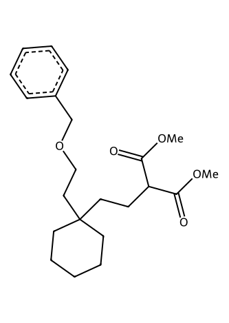 COC(=O)C(CCC1(CCOCc2ccccc2)CCCCC1)C(=O)OC